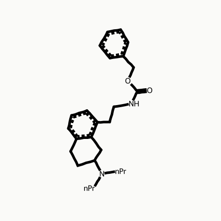 CCCN(CCC)C1CCc2cccc(CCNC(=O)OCc3ccccc3)c2C1